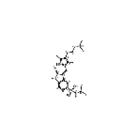 Cc1[nH]c(C=C2C(=O)Nc3ccc(S(=O)(=O)NC(C)C)cc32)c(C)c1CCCN(C)C